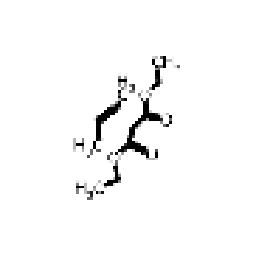 CC=CC.CCOC(=O)CC(=O)OCC